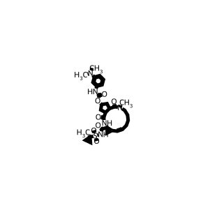 CN1CCCCC=CC2CC2(C(=O)NS(=O)(=O)C2(C)CC2)NC(=O)C2CC(OC(=O)Nc3cccc(N(C)C)c3)CC2C1=O